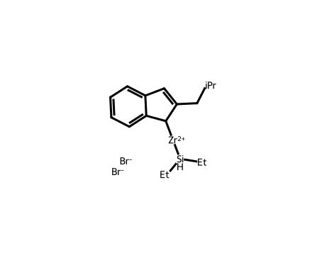 CC[SiH](CC)[Zr+2][CH]1C(CC(C)C)=Cc2ccccc21.[Br-].[Br-]